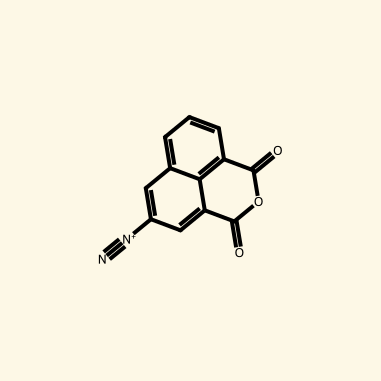 N#[N+]c1cc2c3c(cccc3c1)C(=O)OC2=O